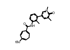 Cc1c(NC(=O)C2=CCC=C(C(C)(C)C)C=C2)cccc1-c1cc(C)c(=O)n(C)c1